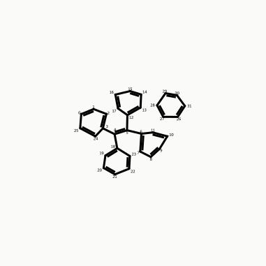 c1ccc(C(=C(c2ccccc2)c2ccccc2)c2ccccc2)cc1.c1ccccc1